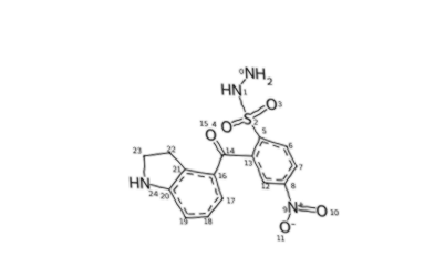 NNS(=O)(=O)c1ccc([N+](=O)[O-])cc1C(=O)c1cccc2c1CCN2